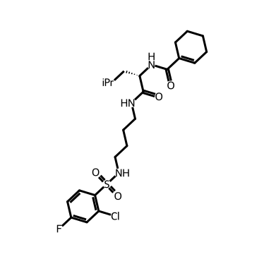 CC(C)C[C@H](NC(=O)C1=CCCCC1)C(=O)NCCCCNS(=O)(=O)c1ccc(F)cc1Cl